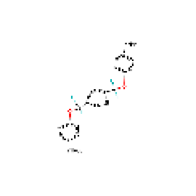 CCCCCCCCCc1ccc(OC(F)(F)c2ccc(C(F)(F)Oc3ccc(CCCCCCC)cc3)cc2)cc1